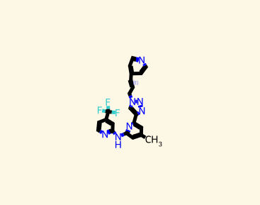 Cc1cc(Nc2cc(C(F)(F)F)ccn2)nc(-c2cn(C/C=C/c3ccncc3)nn2)c1